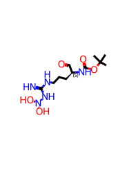 CC(C)(C)OC(=O)N[C@H](C=O)CCCNC(=N)NN(O)O